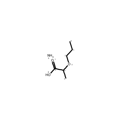 CCCOC(C)C(=O)O.N